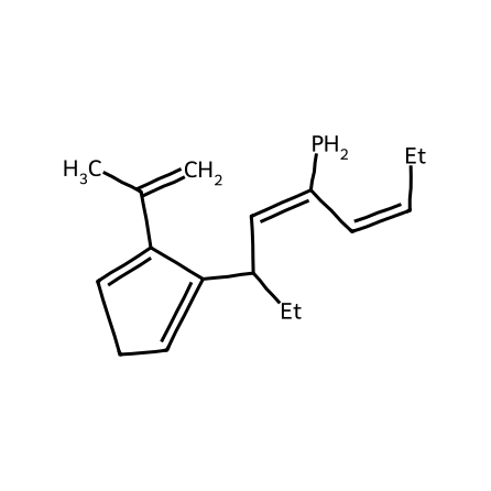 C=C(C)C1=CCC=C1C(/C=C(P)\C=C/CC)CC